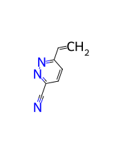 C=Cc1ccc(C#N)nn1